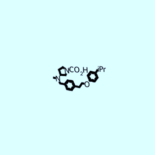 CC(C)c1ccc(OCCc2ccc(CN(C)[C@H]3CCN(C(=O)O)C3)cc2)cc1